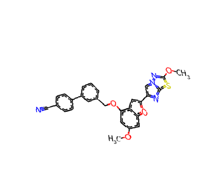 COc1cc(OCc2cccc(-c3ccc(C#N)cc3)c2)c2cc(-c3cn4nc(OC)sc4n3)oc2c1